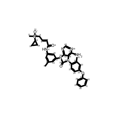 Cc1cc(NC(=O)/C=C/C[N+](C)([O-])C2CC2)cc(-n2c(=O)n(-c3ccc(Oc4ccccc4)cc3C)c3c(N)ncnc32)c1